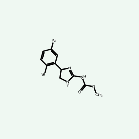 COC(=O)NC1=NC(c2cc(Br)ccc2Br)CN1